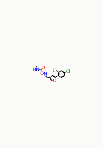 CNC(=O)ON=Cc1coc(-c2ccc(Cl)cc2Cl)c1